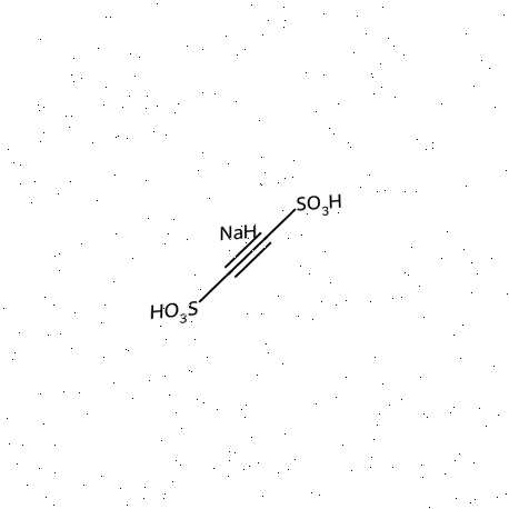 O=S(=O)(O)C#CS(=O)(=O)O.[NaH]